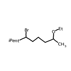 CCCC(C)C(Br)CCCC(C)OCC